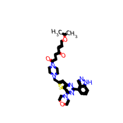 CC(C)OCC=CC(=O)CCC(=O)N1CCN(Cc2cc3nc(-c4cccc5[nH]ncc45)nc(N4CCOCC4)c3s2)CC1